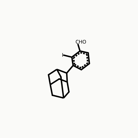 O=Cc1cccc(C2C3CC4CC(C3)CC2C4)c1I